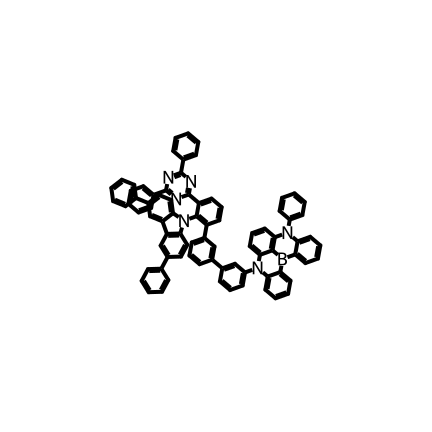 c1ccc(-c2ccc3c(c2)c2cc(-c4ccccc4)ccc2n3-c2c(-c3cccc(-c4cccc(N5c6ccccc6B6c7ccccc7N(c7ccccc7)c7cccc5c76)c4)c3)cccc2-c2nc(-c3ccccc3)nc(-c3ccccc3)n2)cc1